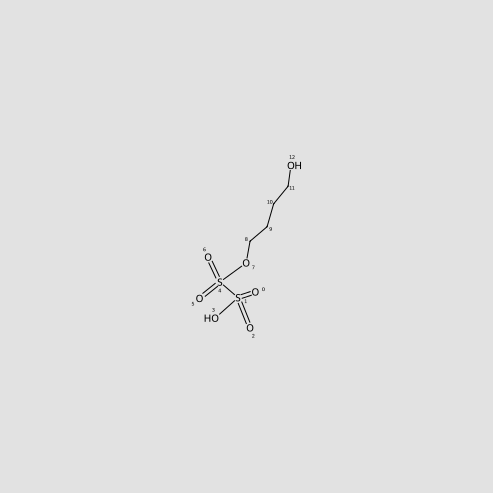 O=S(=O)(O)S(=O)(=O)OCCCCO